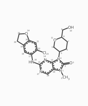 Cn1c(=O)n(C2CCC(CO)OC2)c2nc(Nc3cc4c(cc3Cl)OCC4)ncc21